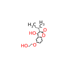 CCC(C)c1c(O)c2cc(OCCO)ccc2oc1=O